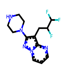 FC(F)C(F)Cc1c(N2CCNCC2)nn2cccnc12